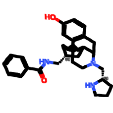 O=C(NC[C@H]1CC23CC=CC1C21CCN(C[C@@H]2CCCN2)C3Cc2ccc(O)cc21)c1ccccc1